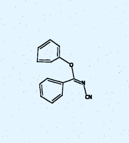 N#C/N=C(/Oc1ccccc1)c1ccccc1